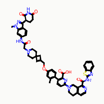 Cc1cc(OCC2CC3(CCN(CC(=O)Nc4ccc5c(C6CCC(=O)NC6=O)nn(C)c5c4)CC3)C2)ccc1-c1ccc(N2CCc3ccnc(C(=O)Nc4nc5ccccc5s4)c3C2)nc1C(=O)O